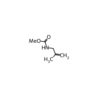 C=C(C)CNC(=O)OC